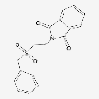 O=C1c2ccccc2C(=O)N1CCS(=O)(=O)Cc1ccccc1